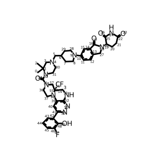 CC1(C)CN(CC2CCN(c3ccc4c(c3)C(=O)N([C@@H]3CCC(=O)NC3=O)C4)CC2)CCN1C(=O)N1CCN2c3cc(-c4cccc(F)c4O)nnc3NC[C@@]2(C(F)(F)F)C1